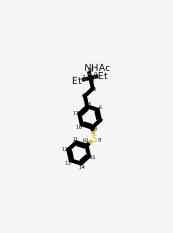 CCC(CC)(CCc1ccc(Sc2ccccc2)cc1)NC(C)=O